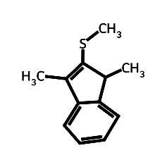 CSC1=C(C)c2ccccc2C1C